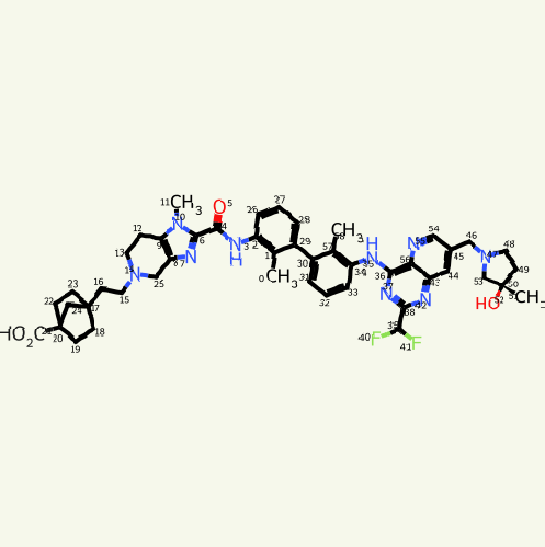 Cc1c(NC(=O)c2nc3c(n2C)CCN(CCC24CCC(C(=O)O)(CC2)C4)C3)cccc1-c1cccc(Nc2nc(C(F)F)nc3cc(CN4CC[C@](C)(O)C4)cnc23)c1C